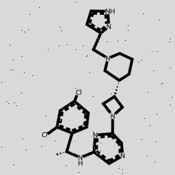 C[C@@H](Nc1cncc(N2CC([C@H]3CCCN(Cc4cc[nH]n4)C3)C2)n1)c1ccc(Cl)cc1Cl